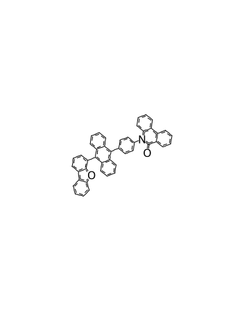 O=c1c2ccccc2c2ccccc2n1-c1ccc(-c2c3ccccc3c(-c3cccc4c3oc3ccccc34)c3ccccc23)cc1